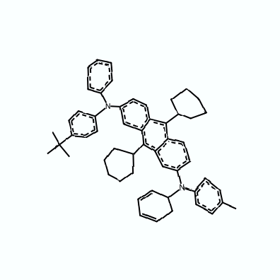 Cc1ccc(N(c2ccc3c(C4CCCCC4)c4ccc(N(c5ccccc5)c5ccc(C(C)(C)C)cc5)cc4c(C4CCCCC4)c3c2)C2C=CC=CC2)cc1